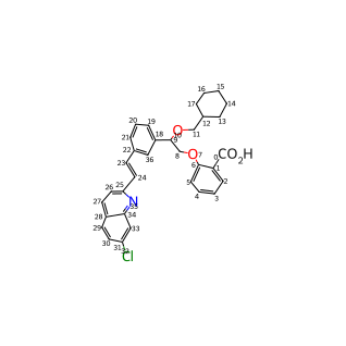 O=C(O)c1ccccc1OCC(OCC1CCCCC1)c1cccc(/C=C/c2ccc3ccc(Cl)cc3n2)c1